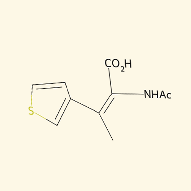 CC(=O)NC(C(=O)O)=C(C)c1ccsc1